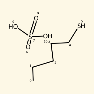 CCCCCS.O=S(=O)(O)O